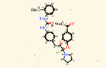 COC(=O)c1ccc(OC(F)(C(=O)Cc2ccc(NC(=O)Nc3ccccc3OC)cc2)N2CCCC2)cc1